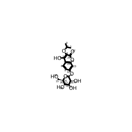 CC(C)Oc1c(O)c2ccc(O[C@@H]3O[C@H](CO)[C@@H](O)[C@H](O)[C@H]3O)cc2oc1=O